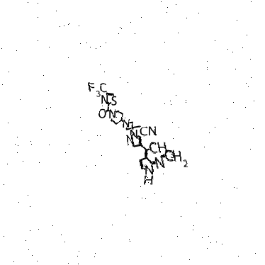 C=C/N=C1/NC=C/C1=C(/C)c1cnn(C2(CC#N)CN(C3CCN(C(=O)c4nc(C(F)(F)F)cs4)CC3)C2)c1